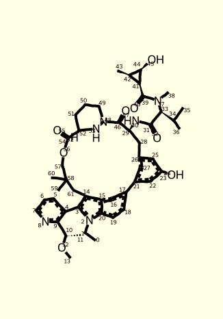 CCn1c(-c2cccnc2[C@H](C)OC)c2c3cc(ccc31)-c1cc(O)cc(c1)C[C@H](NC(=O)[C@H](C(C)C)N(C)C(=O)[C@H]1[C@@H](C)[C@H]1O)C(=O)N1CCC[C@H](N1)C(=O)OCC(C)(C)C2